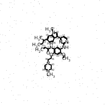 C=CC(=O)Nc1cc(Nc2nccc(-c3cn(C)c4cc(C(C)CC)ccc34)n2)c(OC)cc1OCCN1CCN(C)CC1